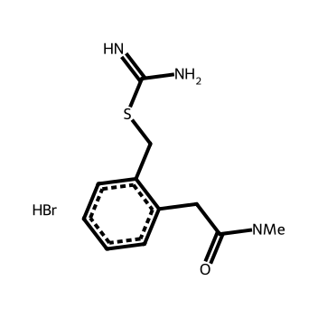 Br.CNC(=O)Cc1ccccc1CSC(=N)N